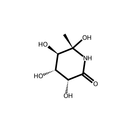 C[C@@]1(O)NC(=O)[C@H](O)[C@H](O)[C@H]1O